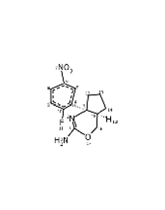 NC1=N[C@@]2(c3cc([N+](=O)[O-])ccc3F)CCC[C@H]2CO1